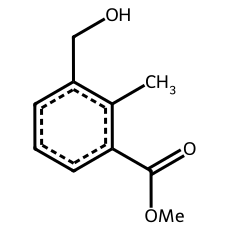 COC(=O)c1cccc(CO)c1C